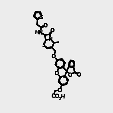 CC1C(COc2ccc3c(c2)Oc2cc(OCC(=O)O)ccc2C32OC(=O)c3ccccc32)=CSC2C(NC(=O)Cc3cccs3)C(=O)N12